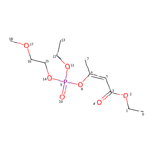 CCOC(=O)C=C(C)OP(=O)(OCC)OCCOC